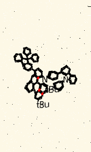 CC(C)(C)c1cc(-c2cccc3cccc(-c4ccccc4N(c4ccc(-c5ccc6c(c5)C(c5ccccc5)(c5ccccc5)c5ccccc5-6)cc4)c4ccc(-c5cccc6c7ccccc7n(-c7ccccc7)c56)cc4)c23)cc(C(C)(C)C)c1